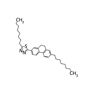 CCCCCCCCc1ccc2c(c1)CCc1cc(-c3nnc(CCCCCCCC)s3)ccc1-2